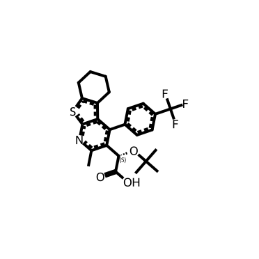 Cc1nc2sc3c(c2c(-c2ccc(C(F)(F)F)cc2)c1[C@H](OC(C)(C)C)C(=O)O)CCCC3